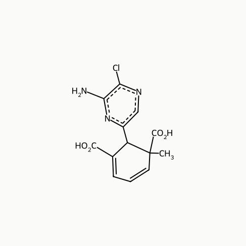 CC1(C(=O)O)C=CC=C(C(=O)O)C1c1cnc(Cl)c(N)n1